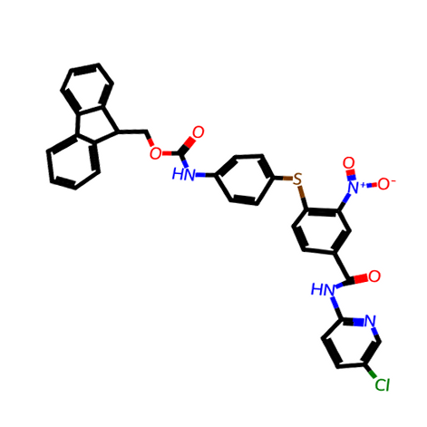 O=C(Nc1ccc(Sc2ccc(C(=O)Nc3ccc(Cl)cn3)cc2[N+](=O)[O-])cc1)OCC1c2ccccc2-c2ccccc21